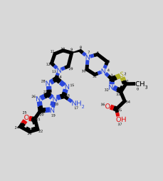 Cc1sc(N2CCN(C[C@@H]3CCCN(c4nc(N)n5nc(-c6ccco6)nc5n4)C3)CC2)nc1CC(=O)O